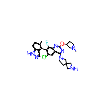 Cc1ccc2[nH]ncc2c1-c1c(Cl)cc2c(N3CCC4(CNC4)C3)nc(OC3CCN(C)C3)nc2c1F